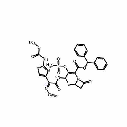 CO/N=C(\C(=O)NC1SC2CC(=O)N2C(C(=O)OC(c2ccccc2)c2ccccc2)=C1OS(C)(=O)=O)c1csc(NC(=O)OC(C)(C)C)n1